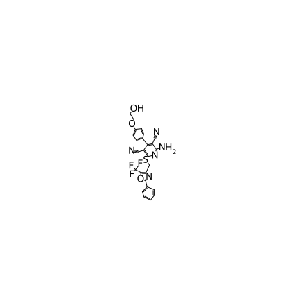 N#Cc1c(N)nc(SCc2nc(-c3ccccc3)oc2C(F)(F)F)c(C#N)c1-c1ccc(OCCO)cc1